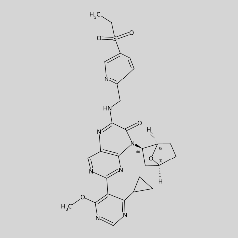 CCS(=O)(=O)c1ccc(CNc2nc3cnc(-c4c(OC)ncnc4C4CC4)nc3n([C@@H]3C[C@@H]4CC[C@H]3O4)c2=O)nc1